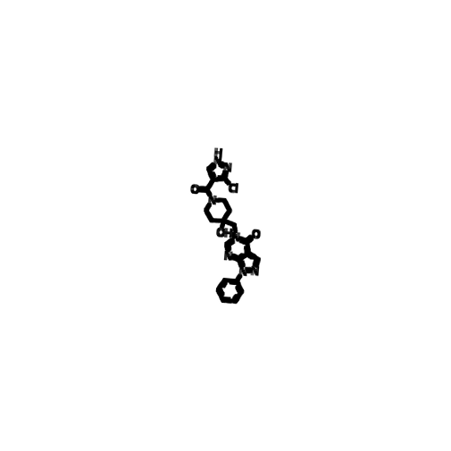 O=C(c1c[nH]nc1Cl)N1CCC(O)(Cn2cnc3c(cnn3-c3ccccc3)c2=O)CC1